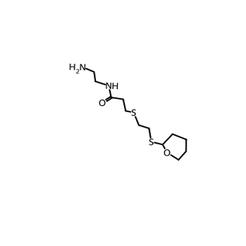 NCCNC(=O)CCSCCSC1CCCCO1